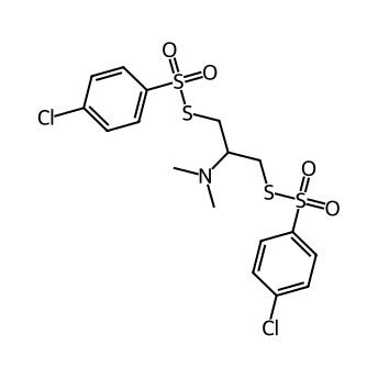 CN(C)C(CSS(=O)(=O)c1ccc(Cl)cc1)CSS(=O)(=O)c1ccc(Cl)cc1